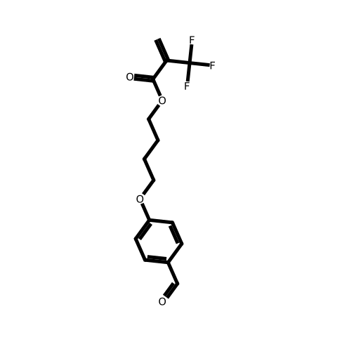 C=C(C(=O)OCCCCOc1ccc(C=O)cc1)C(F)(F)F